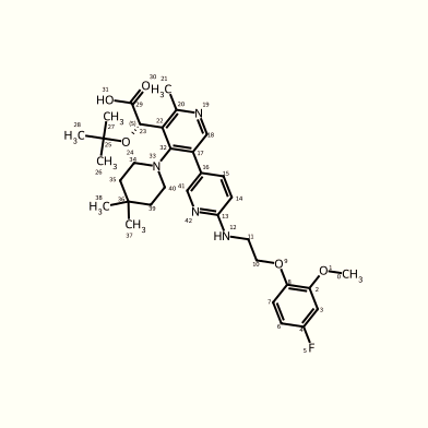 COc1cc(F)ccc1OCCNc1ccc(-c2cnc(C)c([C@H](OC(C)(C)C)C(=O)O)c2N2CCC(C)(C)CC2)cn1